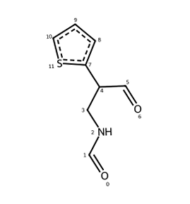 O=CNCC(C=O)c1cccs1